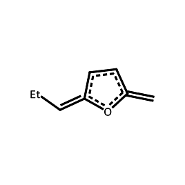 C=c1cc/c(=C\CC)o1